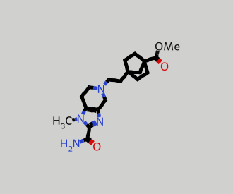 COC(=O)C12CCC(CCN3CCc4c(nc(C(N)=O)n4C)C3)(CC1)C2